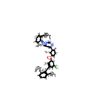 CC(C)c1cccc(C(C)C)c1-c1cc(Cl)cc(Oc2cccc(-c3cn(-c4c(C(C)C)cccc4C(C)C)cn3)c2)c1